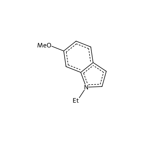 CCn1ccc2ccc(OC)cc21